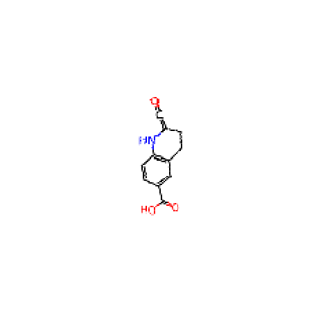 O=C=C1CCc2cc(C(=O)O)ccc2N1